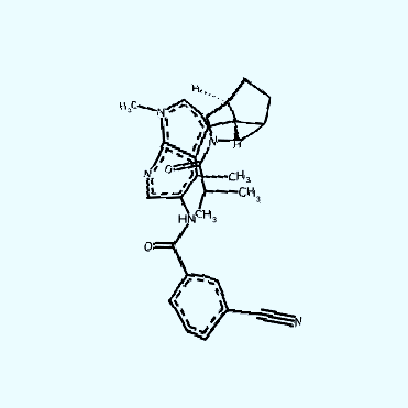 Cc1c(NC(=O)c2cccc(C#N)c2)cnc2c1c([C@H]1C3CC[C@@H]1CN(C(=O)C(C)C)C3)cn2C